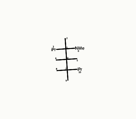 CNC(C)(C(C)C)C(C)(C)C(C)(C)C(C)C